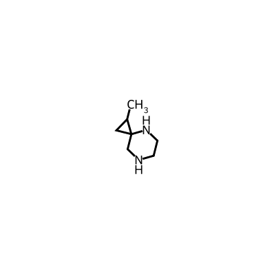 CC1CC12CNCCN2